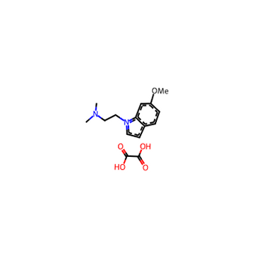 COc1ccc2ccn(CCN(C)C)c2c1.O=C(O)C(=O)O